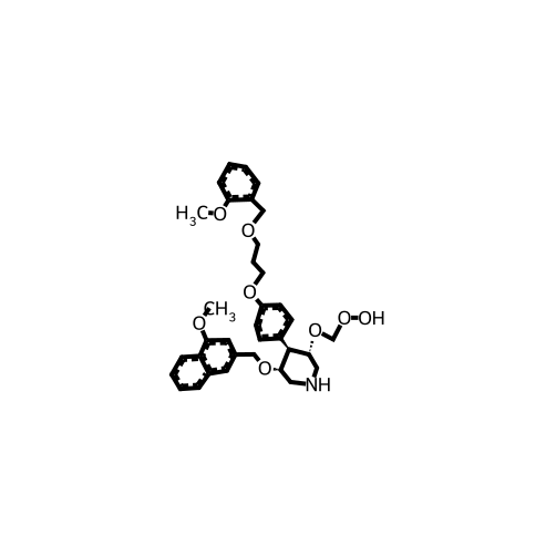 COc1ccccc1COCCCOc1ccc([C@@H]2[C@@H](OCc3cc(OC)c4ccccc4c3)CNC[C@H]2OCOO)cc1